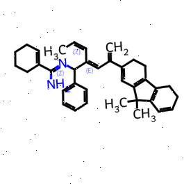 C=C(/C=C(\C=C/C)C(/N=C(\N)C1=CCCCC1)c1ccccc1)C1=CC2=C(CC1)C1=C(C=CCC1)C2(C)C